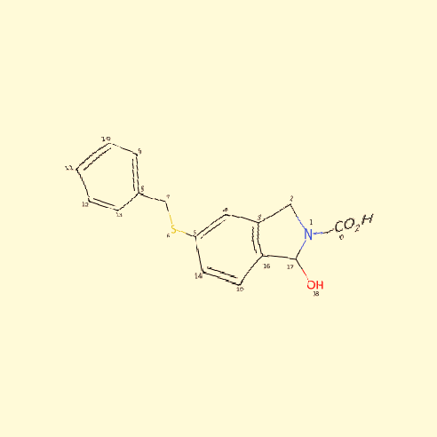 O=C(O)N1Cc2cc(SCc3ccccc3)ccc2C1O